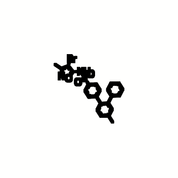 Cc1ccc(-c2ccc(S(=O)(=O)Nc3onc(C)c3Br)cc2)c(-c2ccccc2)c1